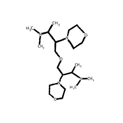 CC(C(COCC(C(C)N(C)C)N1CCOCC1)N1CCOCC1)N(C)C